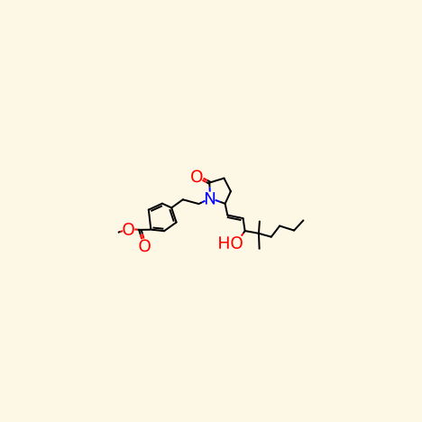 CCCCC(C)(C)C(O)C=CC1CCC(=O)N1CCc1ccc(C(=O)OC)cc1